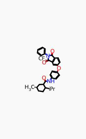 CC(C)C1CC[C@@H](C)CC1C(=O)Nc1ccc(Oc2ccc3c(c2)C(=O)N(c2ccccc2C(F)(F)F)C3=O)cc1